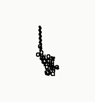 CCCCCCCCCCOCCOC(=O)n1cc2cc(C)c(NC(=O)c3cc(OC)nn3-c3ncccc3Cl)c(C(=O)NC(C)(C)C)c2n1